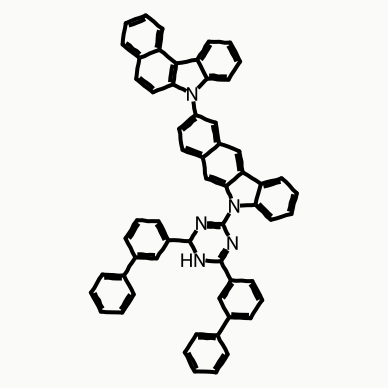 c1ccc(-c2cccc(C3=NC(n4c5ccccc5c5cc6cc(-n7c8ccccc8c8c9ccccc9ccc87)ccc6cc54)=NC(c4cccc(-c5ccccc5)c4)N3)c2)cc1